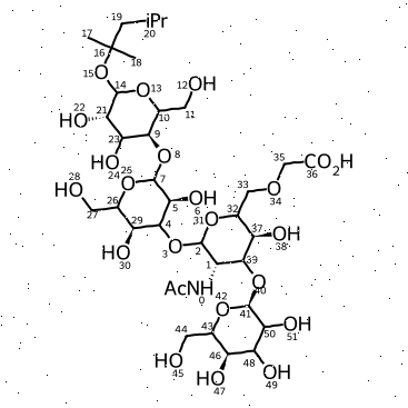 CC(=O)N[C@@H]1C(OC2[C@H](O)C(O[C@@H]3C(CO)OC(OC(C)(C)CC(C)C)[C@@H](O)C3O)OC(CO)[C@@H]2O)OC(COCC(=O)O)[C@@H](O)C1O[C@@H]1OC(CO)[C@H](O)C(O)C1O